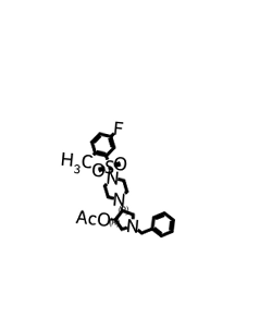 CC(=O)O[C@@H]1CN(Cc2ccccc2)C[C@H]1N1CCN(S(=O)(=O)c2cc(F)ccc2C)CC1